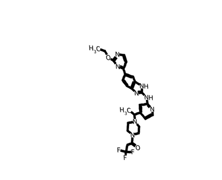 CCOc1nccc(-c2ccc3nc(Nc4cc(C(C)N5CCN(C(=O)CC(F)(F)F)CC5)ccn4)[nH]c3c2)n1